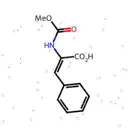 COC(=O)N/C(=C/c1ccccc1)C(=O)O